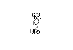 Cc1cc(CC[SH](=O)=O)ncc1[N+](=O)[O-]